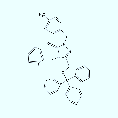 Cc1ccc(Cn2nc(COC(c3ccccc3)(c3ccccc3)c3ccccc3)n(Cc3ccccc3F)c2=O)cc1